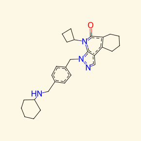 O=c1c2c(c3cnn(Cc4ccc(CNC5CCCCC5)cc4)c3n1C1CCC1)CCCC2